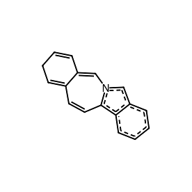 C1=CC2=Cn3cc4ccccc4c3C=CC2=CC1